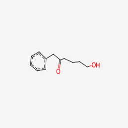 O=C(CCCCO)Cc1ccccc1